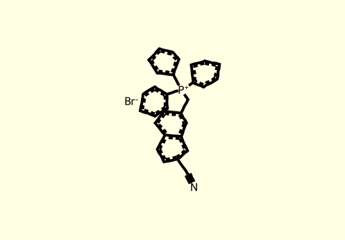 N#Cc1ccc2ccc(C[P+](c3ccccc3)(c3ccccc3)c3ccccc3)cc2c1.[Br-]